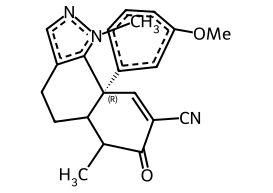 COc1cccc([C@]23C=C(C#N)C(=O)C(C)C2CCc2cnn(C)c23)c1